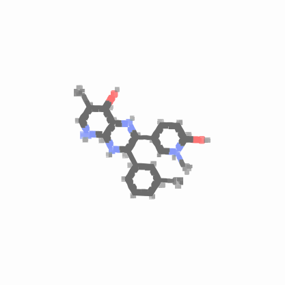 CC(C)n1cc(-c2nc3c(=O)c(C#N)c[nH]c3nc2-c2cccc(C#N)c2)ccc1=O